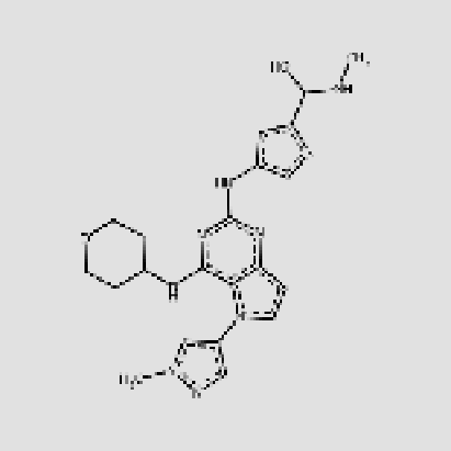 CNC(O)c1cc(Nc2nc(NC3CCOCC3)c3c(ccn3-c3cnn(C)c3)n2)cs1